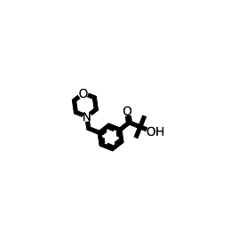 CC(C)(O)C(=O)c1cccc(CN2CCOCC2)c1